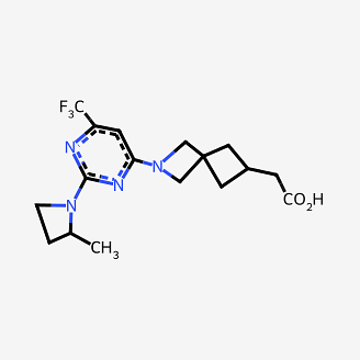 CC1CCN1c1nc(N2CC3(CC(CC(=O)O)C3)C2)cc(C(F)(F)F)n1